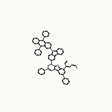 C=C/C(=C\C=C/C)c1cc(-c2ccccc2)cc2c3c(sc12)C(c1ccc2c(c1)c1ccccc1n2-c1ccc2c(-c4ccccc4)c4ccccc4c(-c4ccccc4)c2c1)CC(c1ccccc1)=C3